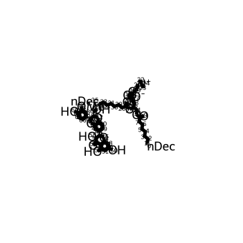 CCCCCCCCCCCCCCCCCC(=O)OCC(COP(=O)([O-])OCC[N+](C)(C)C)OC(=O)CCCCCCCCCCCCCCCCC.COc1cc([C@H]2Oc3cc([C@H]4Oc5cc(O)cc(O)c5C(=O)[C@@H]4O)ccc3O[C@@H]2CO)ccc1O